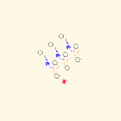 Cc1ccc(COC(C[n+]2ccn(CC=Cc3ccccc3)c2)c2ccccc2C(C)C)cc1C.Cc1ccc(COC(C[n+]2ccn(CC=Cc3ccccc3)c2)c2ccccc2C(C)C)cc1C.Cc1ccc(COC(C[n+]2ccn(CC=Cc3ccccc3)c2)c2ccccc2C(C)C)cc1C.O=P([O-])([O-])[O-]